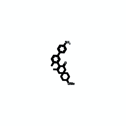 COC1CCC2(CC1)CC(=O)C(c1cc(-c3ccc(N)cc3)ccc1C)=C(C)C2